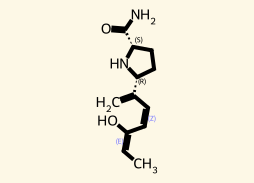 C=C(/C=C\C(O)=C/C)[C@H]1CC[C@@H](C(N)=O)N1